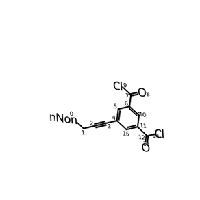 CCCCCCCCCCC#Cc1cc(C(=O)Cl)[c]c(C(=O)Cl)c1